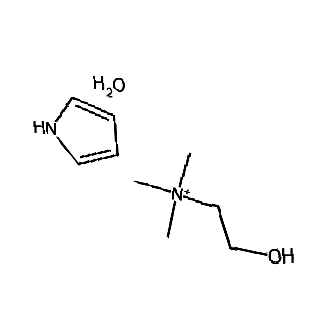 C[N+](C)(C)CCO.O.c1cc[nH]c1